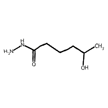 CC(O)CCCC(=O)NN